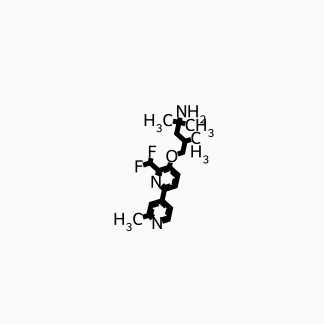 Cc1cc(-c2ccc(OCC(C)CC(C)(C)N)c(C(F)F)n2)ccn1